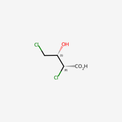 O=C(O)[C@H](Cl)[C@@H](O)CCl